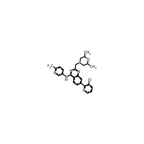 CC1CN(Cc2nc(Nc3ccc(C(F)(F)F)nc3)c3ccc(-c4ncccc4Cl)cc3n2)CC(C)O1